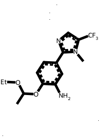 CCOC(C)Oc1ccc(-c2ncc(C(F)(F)F)n2C)cc1N